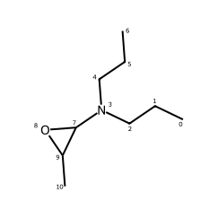 CCCN(CCC)C1OC1C